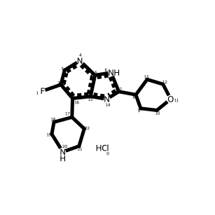 Cl.Fc1cnc2[nH]c(C3CCOCC3)nc2c1C1CCNCC1